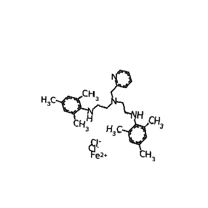 Cc1cc(C)c(NCCN(CCNc2c(C)cc(C)cc2C)Cc2ccccn2)c(C)c1.[Cl-].[Cl-].[Fe+2]